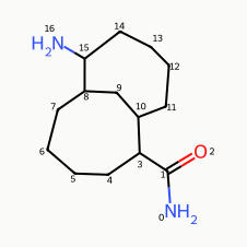 NC(=O)C1CCCCC2CC1CCCCC2N